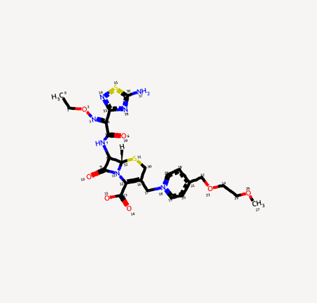 CCON=C(C(=O)NC1C(=O)N2C(C(=O)[O-])=C(C[n+]3ccc(COCCOC)cc3)CS[C@@H]12)c1nsc(N)n1